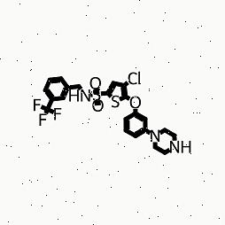 O=S(=O)(NCc1cccc(C(F)(F)F)c1)c1cc(Cl)c(Oc2cccc(N3CCNCC3)c2)s1